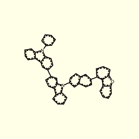 c1ccc(-n2c3ccccc3c3cc(-c4ccc5c6ccccc6n(-c6ccc7cc(-c8cccc9oc%10ccccc%10c89)ccc7c6)c5c4)ccc32)cc1